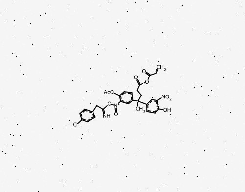 C=CC(=O)OC(=O)CCC(C)(c1ccc(O)c([N+](=O)[O-])c1)c1ccc(OC(C)=O)c([N+](=O)OC(=N)Cc2ccc(Cl)cc2)c1